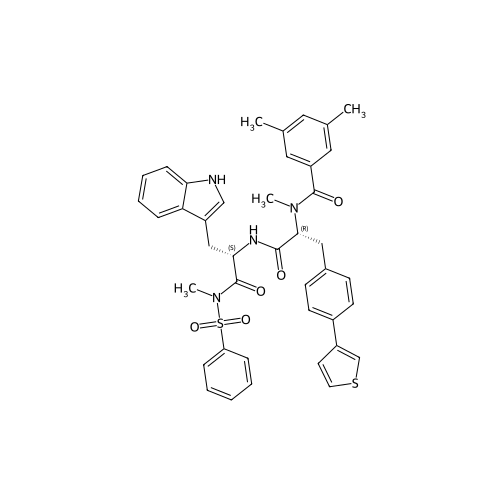 Cc1cc(C)cc(C(=O)N(C)[C@H](Cc2ccc(-c3ccsc3)cc2)C(=O)N[C@@H](Cc2c[nH]c3ccccc23)C(=O)N(C)S(=O)(=O)c2ccccc2)c1